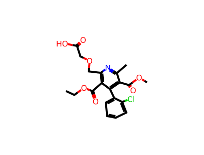 CCOC(=O)c1c(COCC(=O)O)nc(C)c(C(=O)OC)c1-c1ccccc1Cl